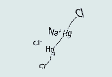 [Cl-].[Cl][Hg][Hg][Cl].[Na+]